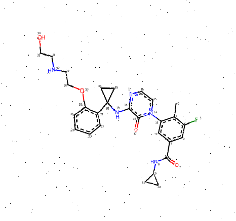 Cc1c(F)cc(C(=O)NC2CC2)cc1-n1ccnc(NC2(c3ccccc3OCCNCCO)CC2)c1=O